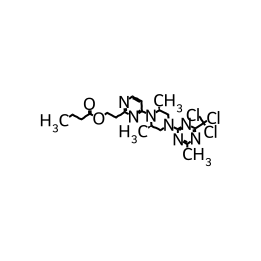 CCCC(=O)OCCc1nccc(N2[C@H](C)CN(c3nc(C)nc(C(Cl)(Cl)Cl)n3)C[C@@H]2C)n1